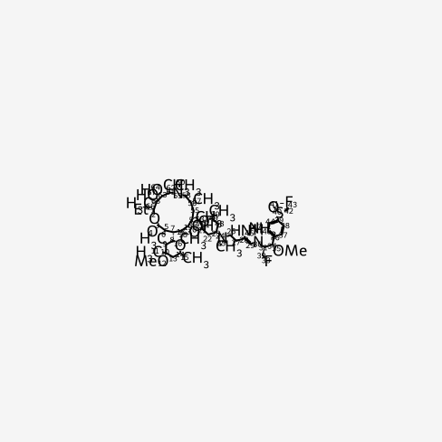 CC[C@H]1OC(=O)[C@H](C)C([C@H]2C[C@@](C)(OC)C[C@H](C)O2)[C@H](C)[C@@H](O[C@H]2C[C@@H](N(C)CC/C(=C/N[C@H](CF)[C@H](OC)c3ccc([S+]([O-])CF)cc3)NN)C[C@@H](C)O2)[C@](C)(O)C[C@@H](C)CN(C)[C@H](C)[C@@H](O)[C@]1(C)O